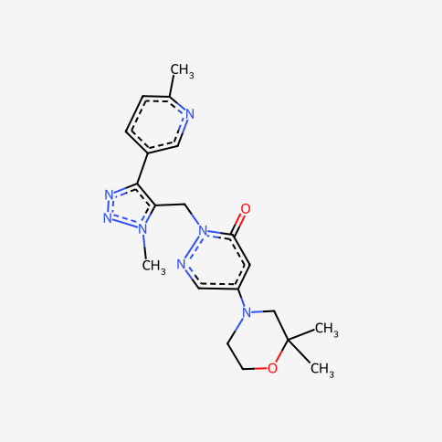 Cc1ccc(-c2nnn(C)c2Cn2ncc(N3CCOC(C)(C)C3)cc2=O)cn1